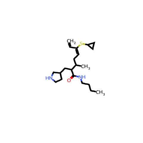 C=C/C(=C\CC(C)C(CC1CCNC1)C(=O)NCCCC)SC1CC1